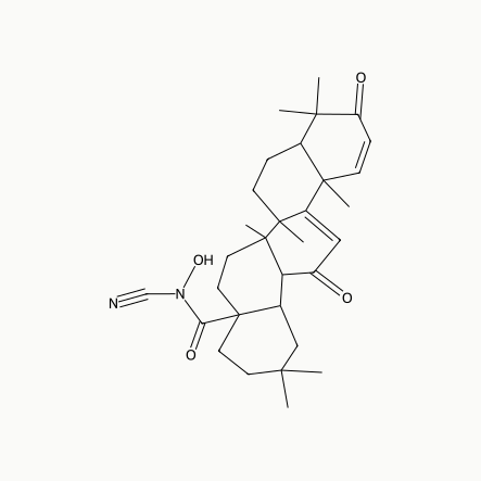 CC1(C)CCC2(C(=O)N(O)C#N)CCC3(C)C(C(=O)C=C4C5(C)C=CC(=O)C(C)(C)C5CCC43C)C2C1